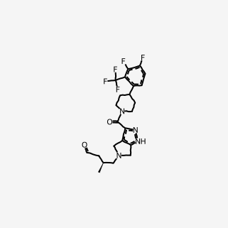 C[C@@H](CC=O)CN1Cc2[nH]nc(C(=O)N3CCC(c4ccc(F)c(F)c4C(F)(F)F)CC3)c2C1